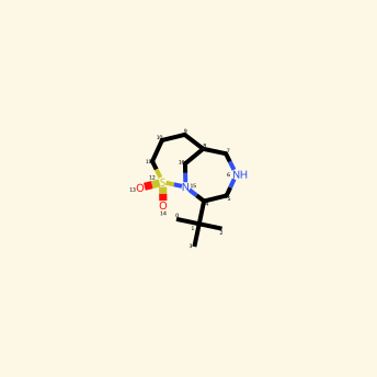 CC(C)(C)C1CNCC2CCCS(=O)(=O)N1C2